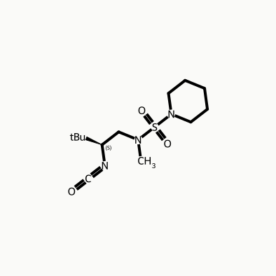 CN(C[C@@H](N=C=O)C(C)(C)C)S(=O)(=O)N1CCCCC1